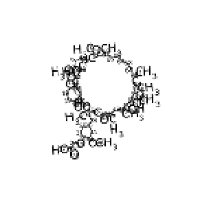 CO[C@H]1C[C@@H]2CC[C@@H](C)[C@@](O)(O2)C(=O)C(=O)N2CCCC[C@H]2C(=O)O[C@H]([C@H](C)C[C@@H]2CC[C@@H](OCC(=O)O)[C@H](OC)C2)CC(=O)[C@H](C)/C=C(\C)[C@@H](O)[C@@H](OC)C(=O)[C@H](C)C[C@H](C)/C=C/C=C/C=C/1C